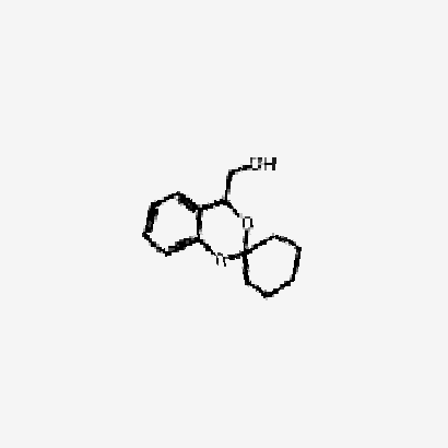 OCC1OC2(CCCCC2)Oc2ccccc21